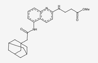 COC(=O)CCNc1ccc2c(NC(=O)CC34CC5CC(CC(C5)C3)C4)cccc2n1